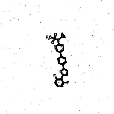 O=S(=O)(N(c1ncc(-c2ccc(C3CCC(c4c(F)cccc4F)=N3)cc2)cn1)C1CC1)C(F)(F)F